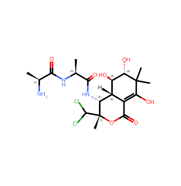 C[C@H](N)C(=O)N[C@@H](C)C(=O)N[C@@H]1[C@H]2C(=C(O)C(C)(C)[C@@H](O)[C@@H]2O)C(=O)O[C@]1(C)C(Cl)Cl